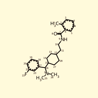 Cc1ccccc1C(=O)NCCC1CCC(C(c2cccc(F)c2)N(C)C)CC1